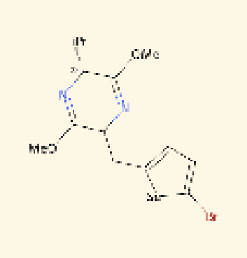 COC1=N[C@H](C(C)C)C(OC)=NC1Cc1ccc(Br)[se]1